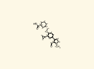 Cn1nnc(-c2ccc(OC[C@H]3CCC[C@H](C(=O)O)C3)c(C3CC3)n2)c1C=O